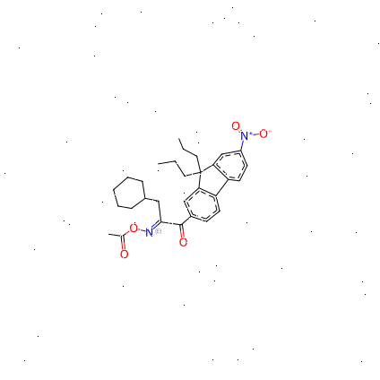 CCCC1(CCC)c2cc(C(=O)/C(CC3CCCCC3)=N/OC(C)=O)ccc2-c2ccc([N+](=O)[O-])cc21